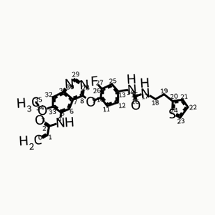 C=CC(=O)Nc1cc2c(Oc3ccc(NC(=O)NCCc4cccs4)cc3F)ncnc2cc1OC